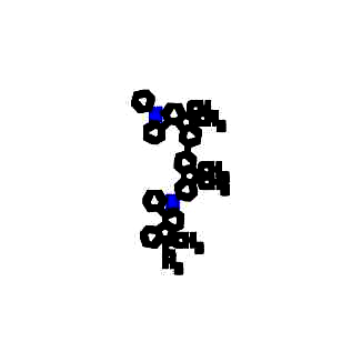 CC1(C)c2ccc(-n3c4ccccc4c4c5c(ccc43)C(C)(C)c3ccccc3-5)cc2-c2ccc(-c3ccc4c(c3)-c3c(ccc5c3c3ccccc3n5-c3ccccc3)C4(C)C)cc21